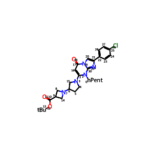 CCCCCn1c(N2CCC(N3CC(C(=O)OC(C)(C)C)C3)C2)cc(=O)n2cc(-c3ccc(Cl)cc3)nc12